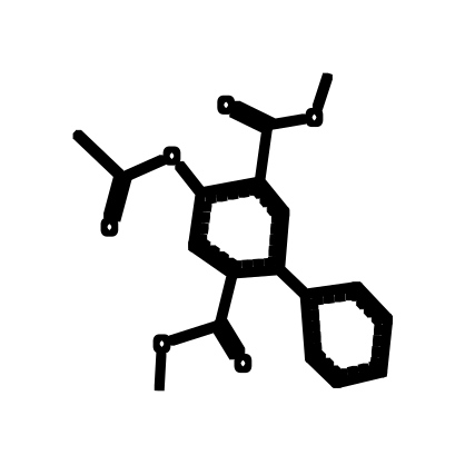 COC(=O)c1cc(-c2ccccc2)c(C(=O)OC)cc1OC(C)=O